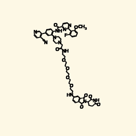 COc1cccc(F)c1-c1nccc(C(=O)Nc2ccc(-c3cnccc3C#N)cc2N2CCN(CC(=O)NCCOCCOCCOCCOCCNc3ccc4c(c3)C(=O)N(C3CCC(=O)NC3=O)C4=O)CC2)n1